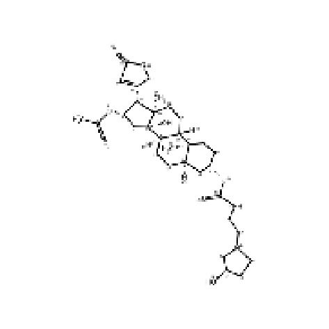 CC(=O)O[C@H]1C[C@]2(O)[C@@H]3CC[C@@H]4C[C@@H](OC(=O)NCCN5CC[C@@H](O)C5)CC[C@]4(C)[C@H]3CC[C@]2(C)[C@H]1C1=CC(=O)OC1